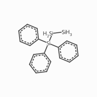 [SiH3][SiH2][Si](c1ccccc1)(c1ccccc1)c1ccccc1